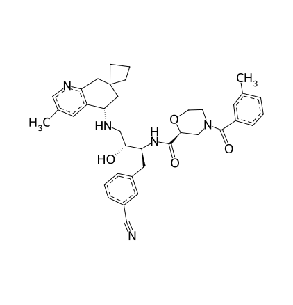 Cc1cccc(C(=O)N2CCO[C@H](C(=O)N[C@@H](Cc3cccc(C#N)c3)[C@H](O)CN[C@H]3CC4(CCC4)Cc4ncc(C)cc43)C2)c1